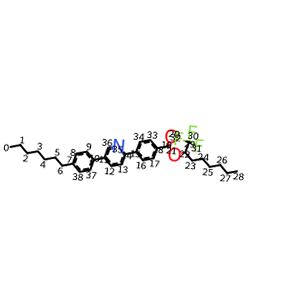 CCCCCCCc1ccc(-c2ccc(-c3ccc(C(=O)OC(CCCCCC)C(F)(F)F)cc3)nc2)cc1